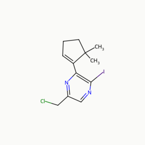 CC1(C)CCC=C1c1nc(CCl)cnc1I